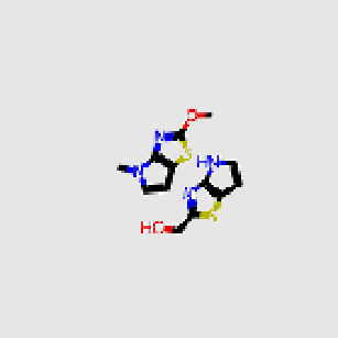 COc1nc2c(ccn2C)s1.OCc1nc2[nH]ccc2s1